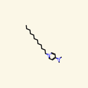 CCCCCCCCCCCC[n+]1ccc(N(C)C)cc1